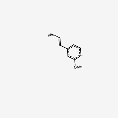 CCCCC=Cc1cc[c]c(OC)c1